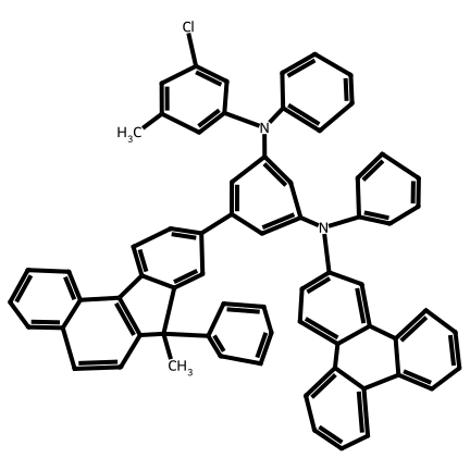 Cc1cc(Cl)cc(N(c2ccccc2)c2cc(-c3ccc4c(c3)C(C)(c3ccccc3)c3ccc5ccccc5c3-4)cc(N(c3ccccc3)c3ccc4c5ccccc5c5ccccc5c4c3)c2)c1